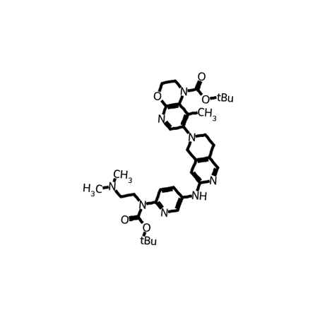 Cc1c(N2CCc3cnc(Nc4ccc(N(CCN(C)C)C(=O)OC(C)(C)C)nc4)cc3C2)cnc2c1N(C(=O)OC(C)(C)C)CCO2